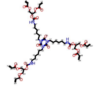 C=CC(=O)OCC(COC(=O)C=C)OC(=O)NCCCCCCn1c(=O)n(CCCCCCNC(=O)OC(COC(=O)C=C)COC(=O)C=C)c(=O)n(CCCCCCNC(=O)OC(COC(=O)C=C)COC(=O)C=C)c1=O